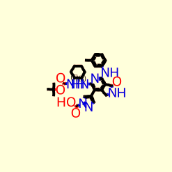 Cc1cccc(Nc2nc(N[C@@H]3CCCC[C@@H]3NC(=O)OC(C)(C)C)c(-c3cnn(C(=O)O)c3)c3c2C(=O)NC3)c1